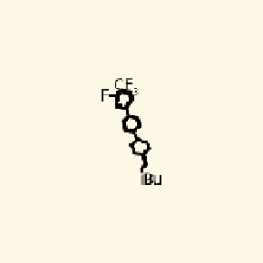 CCC(C)CCC1CCC(C2CCC(c3ccc(C(F)(F)F)c(F)c3)CC2)CC1